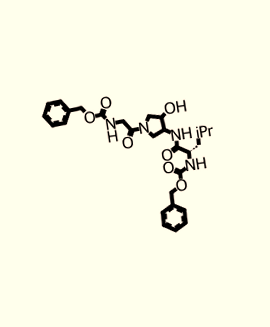 CC(C)C[C@H](NC(=O)OCc1ccccc1)C(=O)NC1CN(C(=O)CNC(=O)OCc2ccccc2)CC1O